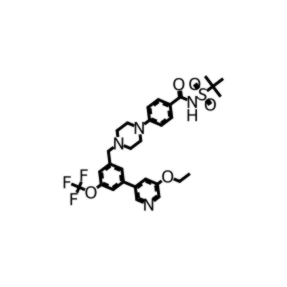 CCOc1cncc(-c2cc(CN3CCN(c4ccc(C(=O)NS(=O)(=O)C(C)(C)C)cc4)CC3)cc(OC(F)(F)F)c2)c1